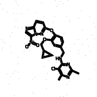 Cc1nc(C)c(Cl)c(NCc2ccc(Oc3ccc4ncc([N+](=O)[O-])n4n3)c(OCC3CC3)c2)n1